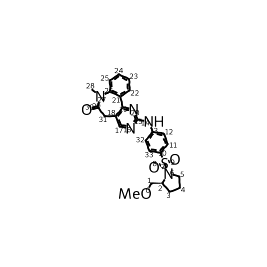 COC[C@@H]1CCCN1S(=O)(=O)c1ccc(Nc2ncc3c(n2)-c2ccccc2N(C)C(=O)C3)cc1